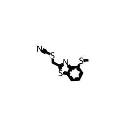 CSc1cccc2sc(CSC#N)nc12